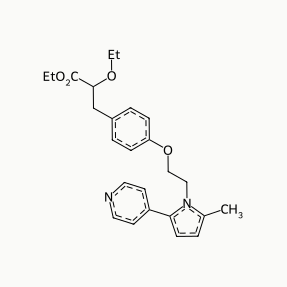 CCOC(=O)C(Cc1ccc(OCCn2c(C)ccc2-c2ccncc2)cc1)OCC